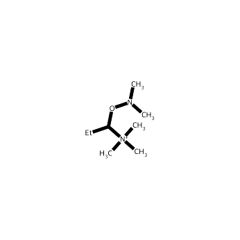 CCC(ON(C)C)[N+](C)(C)C